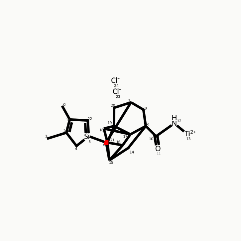 CC1=C(C)C[Si](C2C3CC4(C(=O)[NH][Ti+2])CC25C2C46C4C6(C3)C245)=C1.[Cl-].[Cl-]